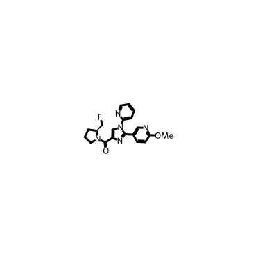 COc1ccc(-c2nc(C(=O)N3CCC[C@H]3CF)cn2-c2ccccn2)cn1